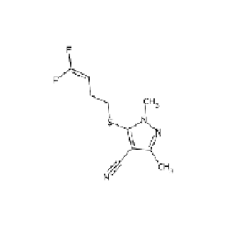 Cc1nn(C)c(SCCC=C(F)F)c1C#N